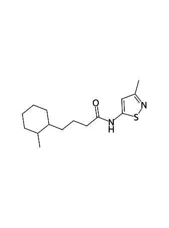 Cc1cc(NC(=O)CCCC2CCCCC2C)sn1